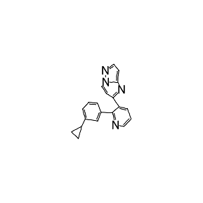 c1cc(-c2ncccc2-c2ccn3nccc3n2)cc(C2CC2)c1